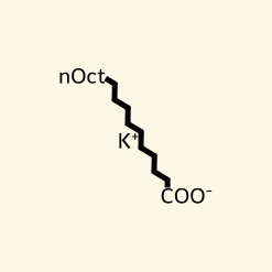 CCCCCCCCCCCCCCCCCC(=O)[O-].[K+]